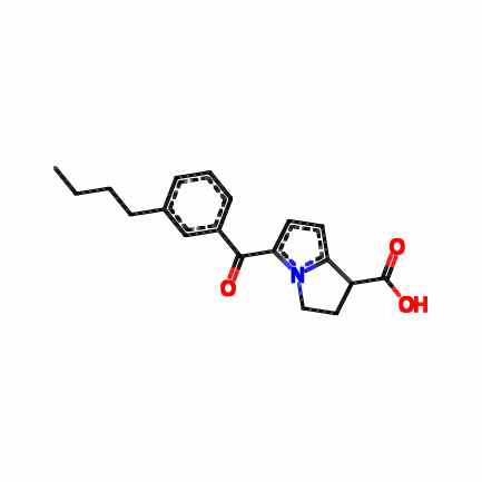 CCCCc1cccc(C(=O)c2ccc3n2CCC3C(=O)O)c1